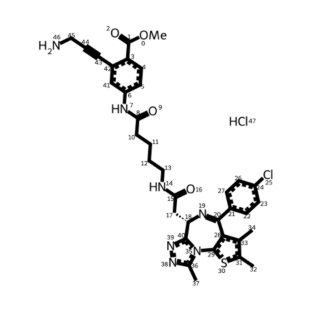 COC(=O)c1ccc(NC(=O)CCCCNC(=O)C[C@@H]2N=C(c3ccc(Cl)cc3)c3c(sc(C)c3C)-n3c(C)nnc32)cc1C#CCN.Cl